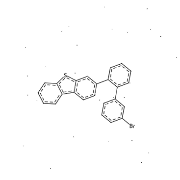 Brc1cccc(-c2ccccc2-c2ccc3c(c2)sc2ccccc23)c1